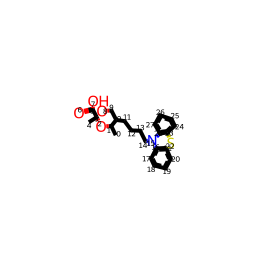 CC1OC(C)(C(=O)O)OCC1CCCCN1c2ccccc2Sc2ccccc21